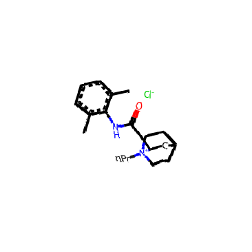 CCC[N+]12CCC(CC1)CC2C(=O)Nc1c(C)cccc1C.[Cl-]